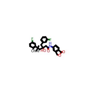 COc1ccc(F)cc1C(C)(C)CC(O)(CC(=O)Nc1ccc2c(c1)COC2=O)Cc1cccc(F)c1